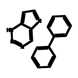 c1cc2[nH]nncc-2n1.c1ccc(-c2ccccc2)cc1